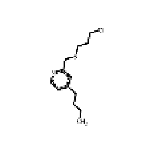 CCCCc1ccnc(CSCCCCl)c1